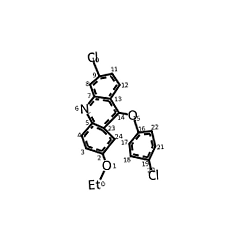 CCOc1ccc2nc3cc(Cl)ccc3c(Oc3ccc(Cl)cc3)c2c1